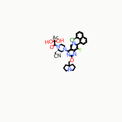 CC(=O)C(O)(O)C(=O)N1CCN(c2nc(OCC34CCCN3CCC4)nc3c(F)c(-c4cccc5cccc(Cl)c45)ncc23)C[C@@H]1CC#N